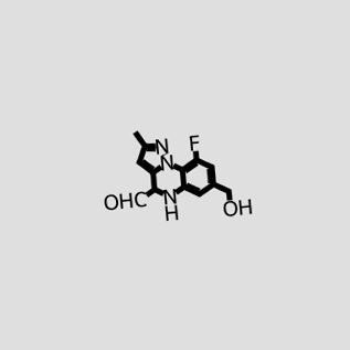 Cc1cc2n(n1)-c1c(F)cc(CO)cc1NC2C=O